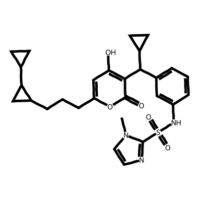 Cn1ccnc1S(=O)(=O)Nc1cccc(C(c2c(O)cc(CCCC3CC3C3CC3)oc2=O)C2CC2)c1